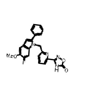 COc1cc2cc(-c3ccccc3)n(Cc3cccc(-c4noc(=O)[nH]4)n3)c2cc1F